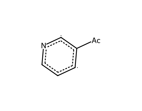 CC(=O)c1[c]ccn[c]1